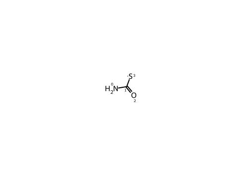 NC(=O)[S]